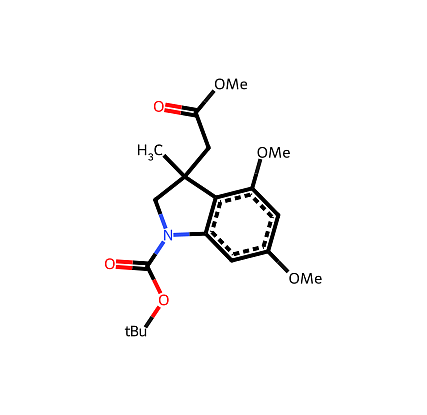 COC(=O)CC1(C)CN(C(=O)OC(C)(C)C)c2cc(OC)cc(OC)c21